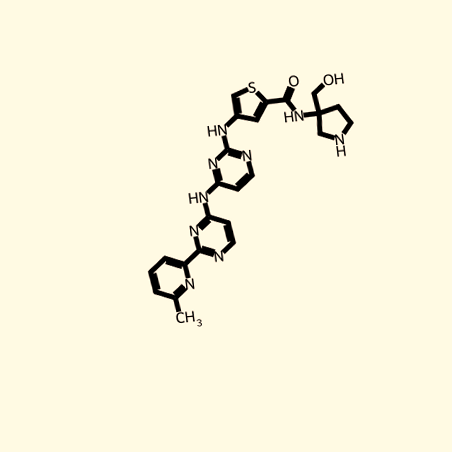 Cc1cccc(-c2nccc(Nc3ccnc(Nc4csc(C(=O)NC5(CO)CCNC5)c4)n3)n2)n1